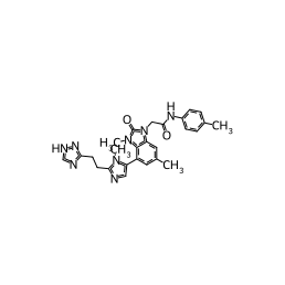 Cc1ccc(NC(=O)Cn2c(=O)n(C)c3c(-c4cnc(CCc5nc[nH]n5)n4C)cc(C)cc32)cc1